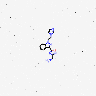 NCc1noc(-c2nn(CCn3ccnc3)c3ccccc23)n1